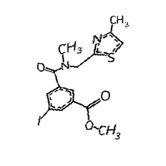 COC(=O)c1cc(I)cc(C(=O)N(C)Cc2nc(C)cs2)c1